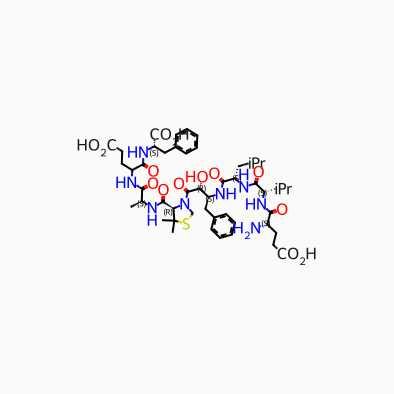 CC(C)C[C@H](NC(=O)[C@@H](NC(=O)[C@@H](N)CCC(=O)O)C(C)C)C(=O)N[C@@H](Cc1ccccc1)[C@@H](O)C(=O)N1CSC(C)(C)[C@H]1C(=O)N[C@@H](C)C(=O)NC(CCC(=O)O)C(=O)N[C@@H](Cc1ccccc1)C(=O)O